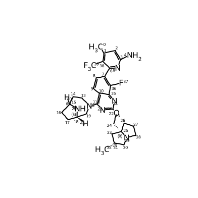 Cc1cc(N)nc(-c2ccc3c(N4CC[C@H]5CC[C@@H](C4)N5)nc(OC[C@]45CCCN4C[C@H](C)C5)nc3c2F)c1C(F)(F)F